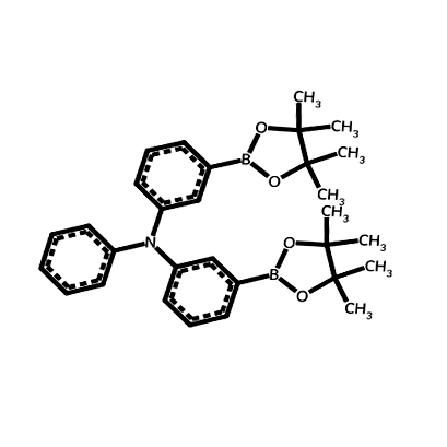 CC1(C)OB(c2cccc(N(c3ccccc3)c3cccc(B4OC(C)(C)C(C)(C)O4)c3)c2)OC1(C)C